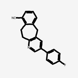 N#Cc1cccc2c1CCc1ncc(-c3ccc(F)cc3)cc1C2